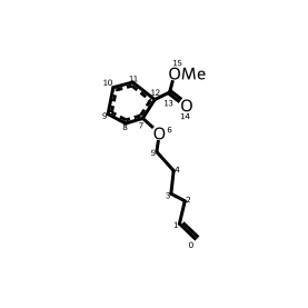 C=CCCCCOc1ccccc1C(=O)OC